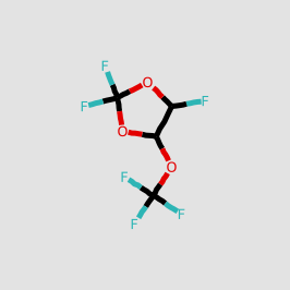 FC1OC(F)(F)OC1OC(F)(F)F